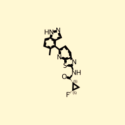 Cc1ccc2[nH]ncc2c1-c1ccc2nc(NC(=O)[C@@H]3C[C@@H]3F)sc2n1